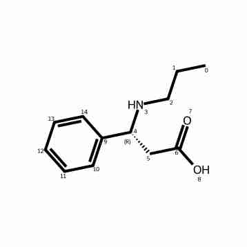 CCCN[C@H](CC(=O)O)c1ccccc1